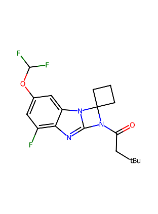 CC(C)(C)CC(=O)N1c2nc3c(F)cc(OC(F)F)cc3n2C12CCC2